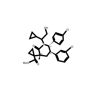 COC(=O)C1([C@@]2(C)C[C@H](c3cccc(Cl)c3)[C@@H](c3ccc(Cl)cc3)N(C(CO)C3CC3)C2=O)CC1